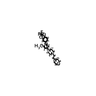 Cc1cc(N2CCN(CCN3CCOCC3)CC2)nn1-c1ccc2c(c1)OC(F)(F)O2